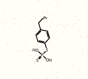 CC(C)Cc1ccc(SP(O)(O)=S)cc1